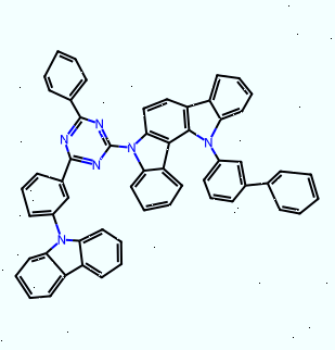 c1ccc(-c2cccc(-n3c4ccccc4c4ccc5c(c6ccccc6n5-c5nc(-c6ccccc6)nc(-c6cccc(-n7c8ccccc8c8ccccc87)c6)n5)c43)c2)cc1